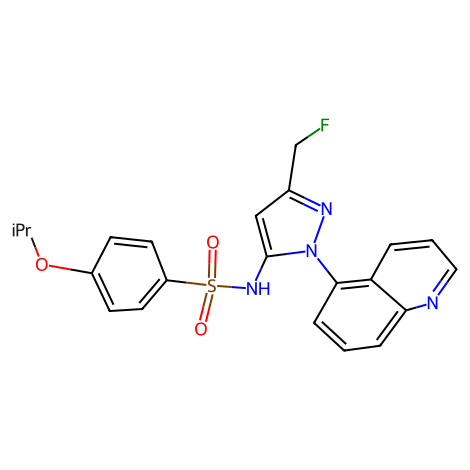 CC(C)Oc1ccc(S(=O)(=O)Nc2cc(CF)nn2-c2cccc3ncccc23)cc1